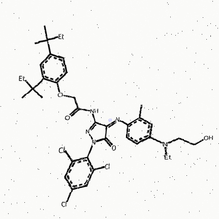 CCN(CCO)c1ccc(/N=C2\C(=O)N(c3c(Cl)cc(Cl)cc3Cl)N=C2NC(=O)COc2ccc(C(C)(C)CC)cc2C(C)(C)CC)c(C)c1